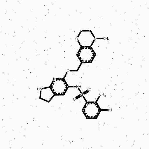 Cc1c(Cl)cccc1S(=O)(=O)Nc1cc2c(nc1OCc1ccc3c(c1)OCCN3C)NCC2